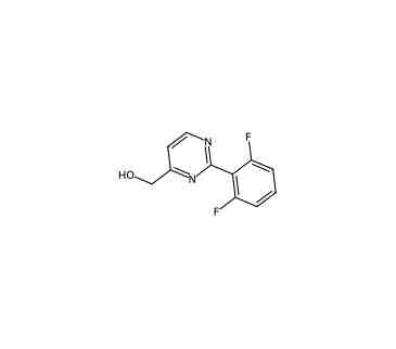 OCc1ccnc(-c2c(F)cccc2F)n1